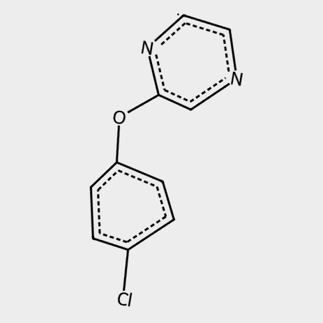 Clc1ccc(Oc2cnc[c]n2)cc1